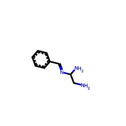 NCC(N)N=Cc1ccccc1